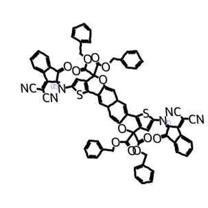 N#CC(C#N)=C1/C(=N/c2cc3c(s2)C2=CC4C=C5OC(C(=O)OCc6ccccc6)(C(=O)OCc6ccccc6)c6cc(/N=C7\C(=O)c8ccccc8C7=C(C#N)C#N)sc6C5=CC4C=C2OC3(C(=O)OCc2ccccc2)C(=O)OCc2ccccc2)C(=O)c2ccccc21